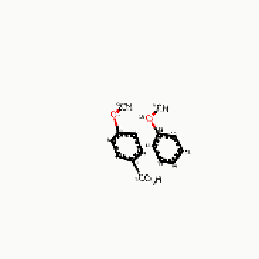 N#COc1ccc(C(=O)O)cc1.N#COc1ccccc1